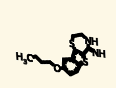 CCCCOc1ccc2sc3c(c2c1)SCCNC3=N